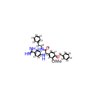 COc1cc([C@@H](Nc2ccc(C(=N)N)cc2)C(=O)NCCc2ccccc2)ccc1OCc1ccccc1